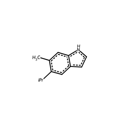 Cc1cc2[nH]ccc2cc1C(C)C